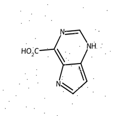 O=C(O)c1nc[nH]c2ccnc1-2